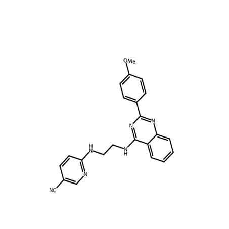 COc1ccc(-c2nc(NCCNc3ccc(C#N)cn3)c3ccccc3n2)cc1